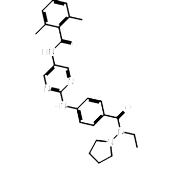 CCN(C(=O)c1ccc(Nc2ncc(NC(=O)c3c(C)cccc3C)cn2)cc1)N1CCCC1